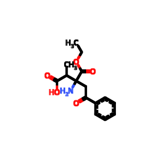 CCOC(=O)C(N)(CC(=O)c1ccccc1)C(C)C(=O)O